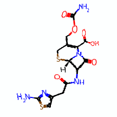 NC(=O)OCC1=C(C(=O)O)N2C(=O)C(NC(=O)Cc3csc(N)n3)[C@@H]2SC1